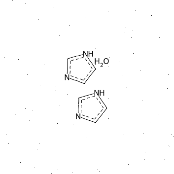 O.c1c[nH]cn1.c1c[nH]cn1